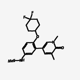 CSNc1ccc(OC2CCC(F)(F)CC2)c(-c2cc(C)c(=O)n(C)c2)c1